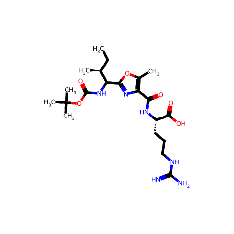 CC[C@H](C)C(NC(=O)OC(C)(C)C)c1nc(C(=O)N[C@@H](CCCNC(=N)N)C(=O)O)c(C)o1